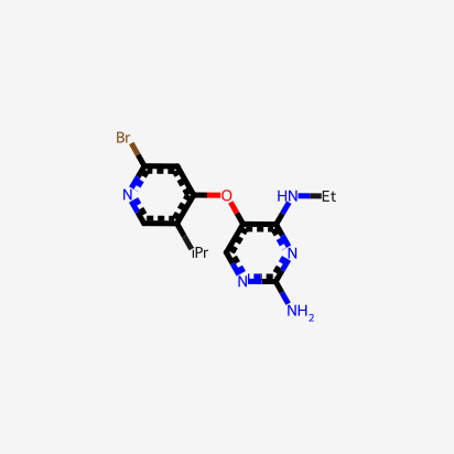 CCNc1nc(N)ncc1Oc1cc(Br)ncc1C(C)C